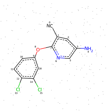 N#Cc1cc(N)cnc1Oc1ccc(Cl)c(Cl)c1